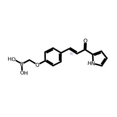 O=C(/C=C/c1ccc(OCB(O)O)cc1)c1ccc[nH]1